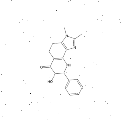 Cc1nc2c(n1C)CCC1=C2NC(c2ccccc2)C(O)C1=O